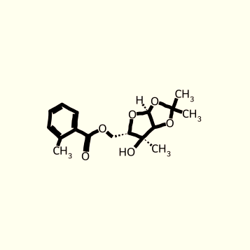 Cc1ccccc1C(=O)OC[C@@H]1O[C@H]2OC(C)(C)OC2[C@@]1(C)O